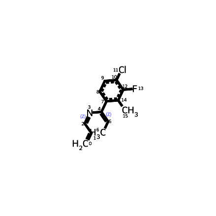 C=C/C=N\C(=C/C)c1ccc(Cl)c(F)c1C